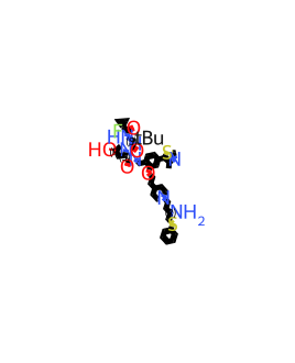 Cc1ncsc1-c1ccc(CNC(=O)[C@@H]2C[C@@H](O)CN2C(=O)[C@@H](NC(=O)C2(F)CC2)C(C)(C)C)c(OCCC2CCN(CC[C@@H](N)CSc3ccccc3)CC2)c1